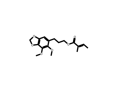 C/C=C(\C)C(=O)OCCCc1cc2c(c(OC)c1OC)OCO2